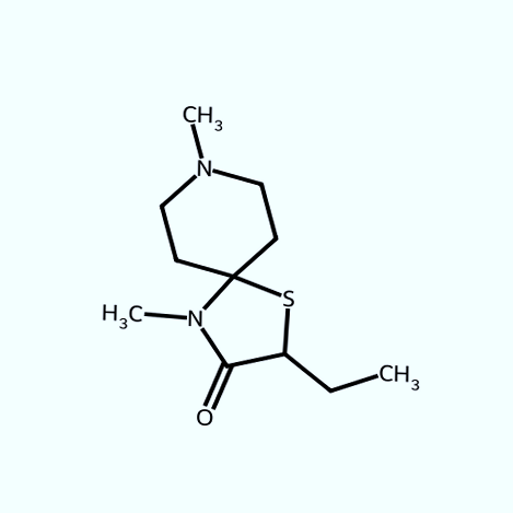 CCC1SC2(CCN(C)CC2)N(C)C1=O